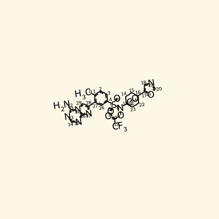 Cc1ccc(S(=O)(=O)N(OC(=O)C(F)(F)F)C23CCC(c4cnco4)(CC2)OC3)cc1-c1cn2c(N)ncnc2n1